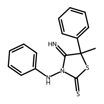 CC1(c2ccccc2)SC(=S)N(Nc2ccccc2)C1=N